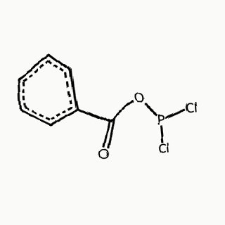 O=C(OP(Cl)Cl)c1ccccc1